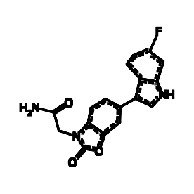 NC(=O)Cn1c(=O)oc2cc(-c3c[nH]c4cc(F)ccc34)ccc21